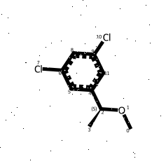 CO[C@@H](C)c1cc(Cl)cc(Cl)c1